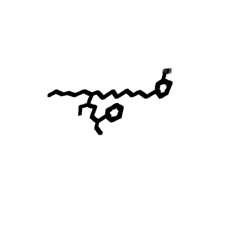 CCCCCCC(CCCCCCCCc1cccc(O)c1)C(CC)CCC(CC)c1ccccc1